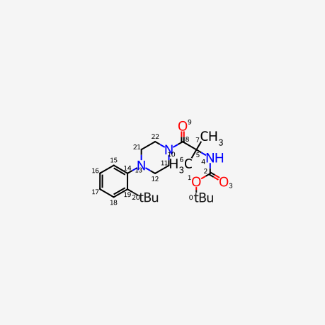 CC(C)(C)OC(=O)NC(C)(C)C(=O)N1CCN(c2ccccc2C(C)(C)C)CC1